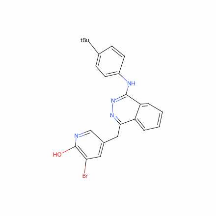 CC(C)(C)c1ccc(Nc2nnc(Cc3cnc(O)c(Br)c3)c3ccccc23)cc1